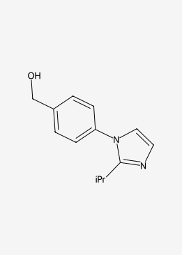 CC(C)c1nccn1-c1ccc(CO)cc1